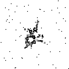 CCCCCCc1ccc(C(=O)N2C[C@H](N)CC2C(=O)N(C)[C@@H]2C(=O)N[C@@H](C)C(=O)N[C@H](C(=O)NCC#N)Cc3ccc(OCCN)c(c3)-c3cc2ccc3OCCN)c(C)c1